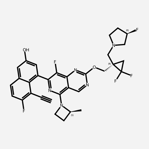 C#Cc1c(F)ccc2cc(O)cc(-c3nc(N4CC[C@@H]4C)c4cnc(OC[C@]5(CN6CC[C@@H](F)C6)CC5(F)F)nc4c3F)c12